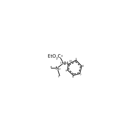 CCOC(=O)NN(C)C.c1ccccc1